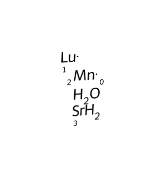 O.[Lu].[Mn].[SrH2]